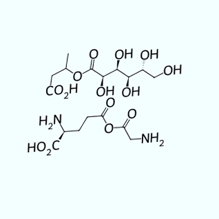 CC(CC(=O)O)OC(=O)[C@H](O)[C@@H](O)[C@H](O)[C@H](O)CO.NCC(=O)OC(=O)CC[C@H](N)C(=O)O